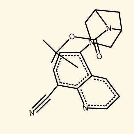 CC(C)(C)OC(=O)N1C2CC1CN(c1ccc(C#N)c3ncccc13)C2